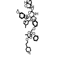 COc1ccc(S(=O)(=O)C(CC(C)C)N[C@@H](O)[C@H](Cc2ccc(OCP(=O)(Oc3ccccc3)OC(C)C(=O)OCCC3CCN(C)CC3)cc2)NC(=O)O[C@H]2CO[C@H]3OCC[C@H]32)cc1